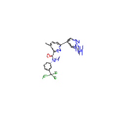 Cc1ccc(-c2cn[nH]c2)nc1C(=O)Nc1cccc(C(F)(F)F)c1